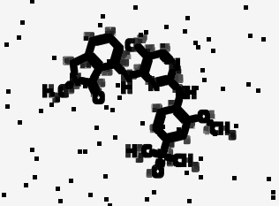 COc1cc(P(C)(C)=O)ccc1Nc1ncc(Cl)c(Nc2cccc3c2C(=O)N(C)C3)n1